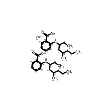 CCCC(C)CC(CC)Oc1ccccc1C(=O)[O-].CCCC(C)CC(CC)Oc1ccccc1C(=O)[O-].[Zn+2]